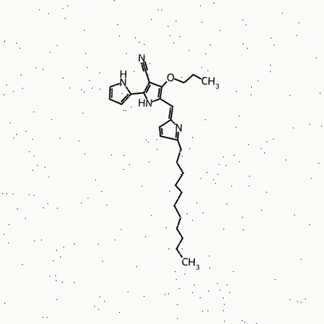 CCCCCCCCCCCC1=N/C(=C/c2[nH]c(-c3ccc[nH]3)c(C#N)c2OCCC)C=C1